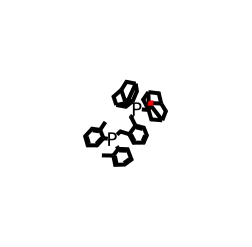 Cc1ccccc1P(Cc1ccccc1CP(C12CC3CC(CC(C3)C1)C2)C12CC3CC(CC(C3)C1)C2)c1ccccc1C